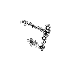 C[N+](C)(C)CC(=O)[O-].O=C(O)CCOCCOCCOCCOCC[n+]1c(-c2nc3ccc(OCCCS(=O)(=O)[O-])cc3o2)ccc2ccccc21